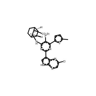 CCOC(=O)[C@@H]1C2CCC(CC2)[C@H]1Nc1nc(-c2c[nH]c3ncc(Cl)nc23)nc(-c2ccc(C)s2)c1F